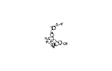 Cc1nnn(Cc2cc(C#N)ccc2C=CC(=O)N2CCN(Cc3ccc(OCCF)cn3)CC2C)n1